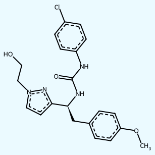 COc1ccc(C[C@H](NC(=O)Nc2ccc(Cl)cc2)c2ccn(CCO)n2)cc1